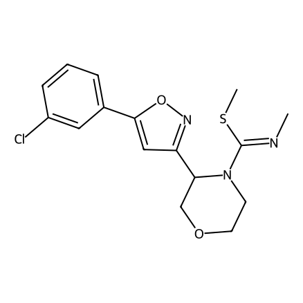 CN=C(SC)N1CCOCC1c1cc(-c2cccc(Cl)c2)on1